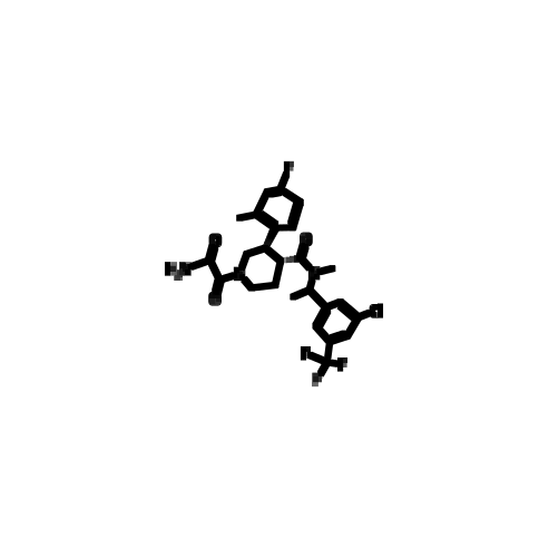 Cc1cc(F)ccc1[C@@H]1CN(C(=O)C(N)=O)CC[C@H]1C(=O)N(C)C(C)c1cc(Cl)cc(C(F)(F)F)c1